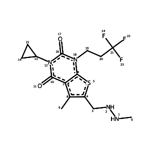 CNNCc1sc2c(c1C)c(=O)n(C1CC1)c(=O)n2CCC(F)(F)F